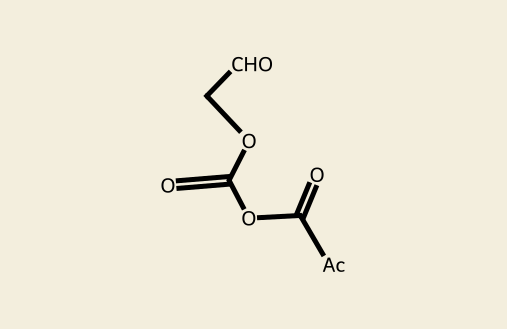 CC(=O)C(=O)OC(=O)OCC=O